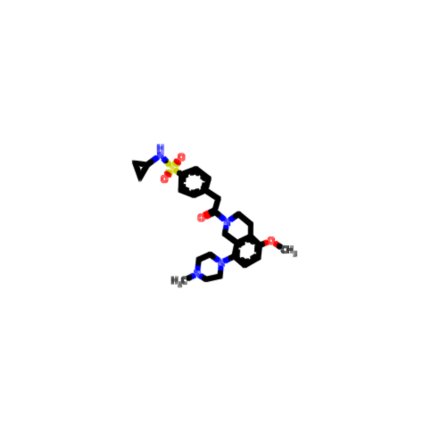 COc1ccc(N2CCN(C)CC2)c2c1CCN(C(=O)Cc1ccc(S(=O)(=O)NC3CC3)cc1)C2